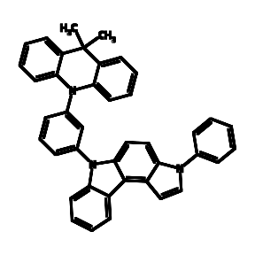 CC1(C)c2ccccc2N(c2cccc(-n3c4ccccc4c4c5ccn(-c6ccccc6)c5ccc43)c2)c2ccccc21